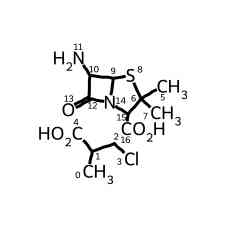 CC(CCl)C(=O)O.CC1(C)SC2C(N)C(=O)N2C1C(=O)O